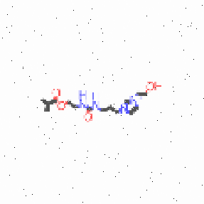 C=C(C)C(=O)OCCNC(=O)NCCCn1cc[n+](CCO)c1